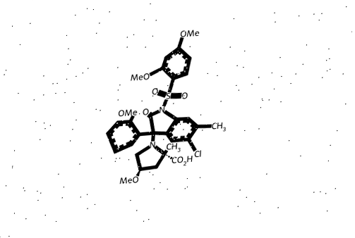 COc1ccc(S(=O)(=O)N2C(=O)C(c3ccccc3OC)(N3C[C@H](OC)C[C@@]3(C)C(=O)O)c3cc(Cl)c(C)cc32)c(OC)c1